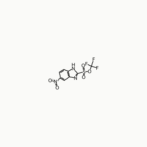 O=[N+]([O-])c1ccc2[nH]c(S(=O)(=O)OC(F)(F)F)nc2c1